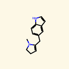 CN1CCC=C1Cc1ccc2[nH]ccc2c1